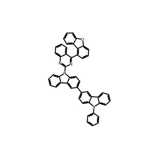 c1ccc(-n2c3ccccc3c3cc(-c4ccc5c(c4)c4ccccc4n5-c4nc(-c5cccc6oc7ccccc7c56)c5ccccc5n4)ccc32)cc1